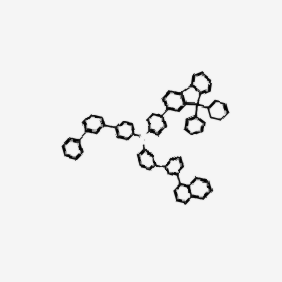 C1=CCCC(C2(c3ccccc3)c3ccccc3-c3ccc(-c4ccc(N(c5ccc(-c6cccc(-c7ccccc7)c6)cc5)c5cccc(-c6cccc(-c7cccc8ccccc78)c6)c5)cc4)cc32)=C1